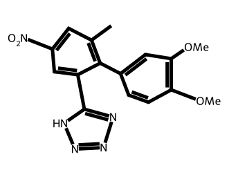 COc1ccc(-c2c(C)cc([N+](=O)[O-])cc2-c2nnn[nH]2)cc1OC